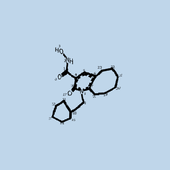 O=C(NO)c1cc2c(n(CC3CCCCC3)c1=O)CCCCCC2